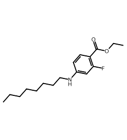 CCCCCCCCNc1ccc(C(=O)OCC)c(F)c1